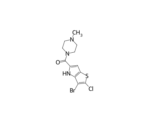 CN1CCN(C(=O)c2cc3sc(Cl)c(Br)c3[nH]2)CC1